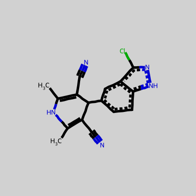 CC1=C(C#N)C(c2ccc3[nH]nc(Cl)c3c2)C(C#N)=C(C)N1